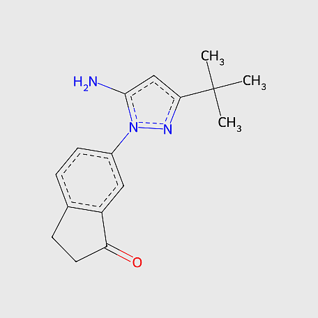 CC(C)(C)c1cc(N)n(-c2ccc3c(c2)C(=O)CC3)n1